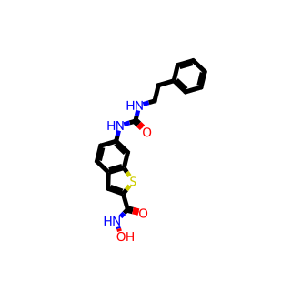 O=C(NCCc1ccccc1)Nc1ccc2cc(C(=O)NO)sc2c1